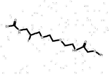 CCC(=O)NCC(F)COCCOCCNC(=O)COC(C)C